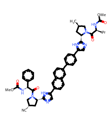 COC(=O)N[C@H](C(=O)N1C[C@H](C)C[C@H]1c1ncc(-c2ccc(-c3ccc4cc(-c5cnc([C@@H]6C[C@H](C#N)CN6C(=O)[C@H](NC(=O)OC)c6ccccc6)[nH]5)ccc4c3)cc2)[nH]1)C(C)C